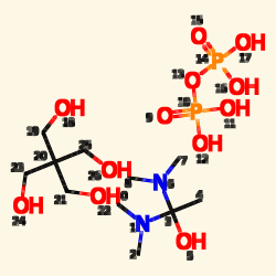 CN(C)C(C)(O)N(C)C.O=P(O)(O)OP(=O)(O)O.OCC(CO)(CO)CO